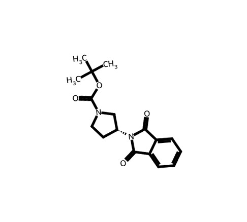 CC(C)(C)OC(=O)N1CC[C@@H](N2C(=O)c3ccccc3C2=O)C1